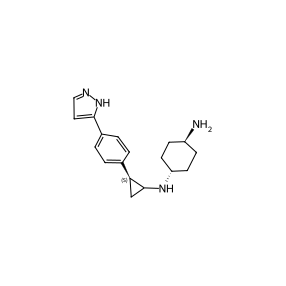 N[C@H]1CC[C@H](NC2C[C@H]2c2ccc(-c3ccn[nH]3)cc2)CC1